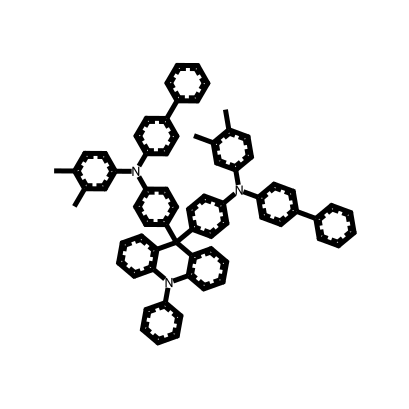 Cc1ccc(N(c2ccc(-c3ccccc3)cc2)c2ccc(C3(c4ccc(N(c5ccc(-c6ccccc6)cc5)c5ccc(C)c(C)c5)cc4)c4ccccc4N(c4ccccc4)c4ccccc43)cc2)cc1C